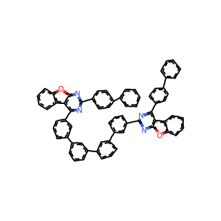 c1ccc(-c2ccc(-c3nc(-c4cccc(-c5cccc(-c6cccc(-c7cccc(-c8nc(-c9ccc(-c%10ccccc%10)cc9)c9c(n8)oc8ccccc89)c7)c6)c5)c4)c4c(n3)oc3ccccc34)cc2)cc1